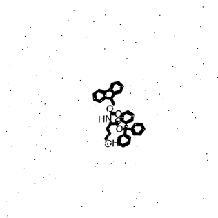 O=C(NC(CCCO)C(=O)OC(c1ccccc1)(c1ccccc1)c1ccccc1)OCC1c2ccccc2-c2ccccc21